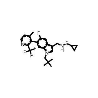 Cc1ccnc(C(F)(F)F)c1-c1cc2c(cc1F)c(CNSC1CC1)cn2CC(C)(C)C